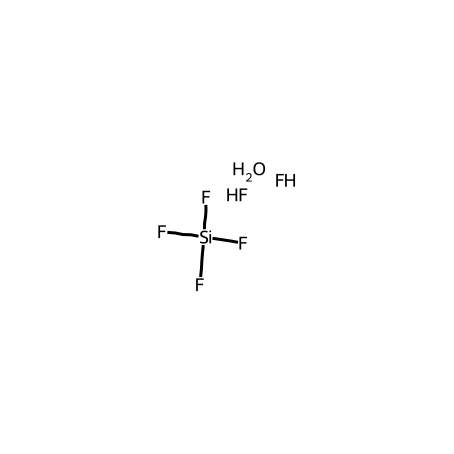 F.F.F[Si](F)(F)F.O